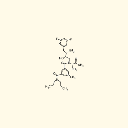 CCCN(CCC)C(=O)c1cc(C)cc(C(=O)N(C[C@@H](O)[C@@H](N)Cc2cc(F)cc(F)c2)C(C)C(N)=O)c1